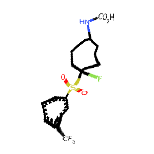 O=C(O)NC1CCC(F)(S(=O)(=O)c2cccc(C(F)(F)F)c2)CC1